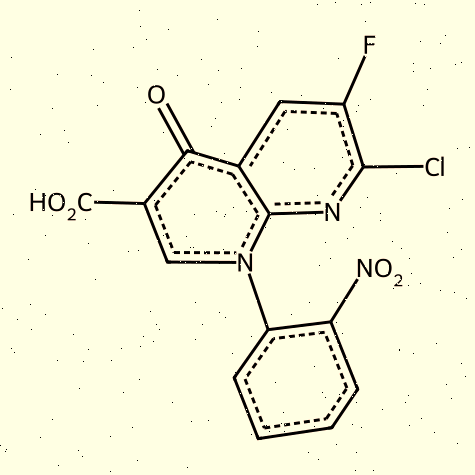 O=C(O)c1cn(-c2ccccc2[N+](=O)[O-])c2nc(Cl)c(F)cc2c1=O